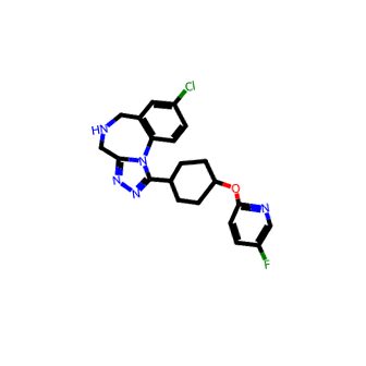 Fc1ccc(OC2CCC(c3nnc4n3-c3ccc(Cl)cc3CNC4)CC2)nc1